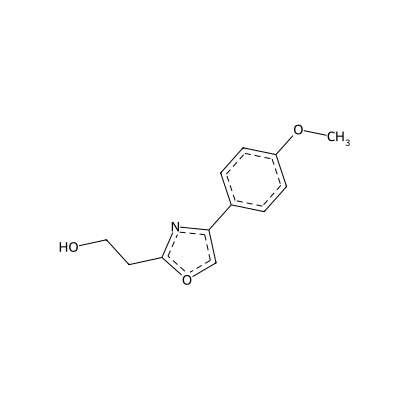 COc1ccc(-c2coc(CCO)n2)cc1